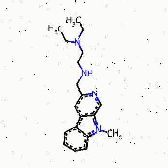 CCN(CC)CCNCc1cc2c3ccccc3n(C)c2cn1